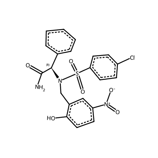 NC(=O)[C@@H](c1ccccc1)N(Cc1cc([N+](=O)[O-])ccc1O)S(=O)(=O)c1ccc(Cl)cc1